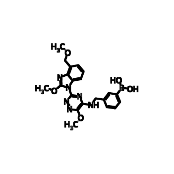 COCc1cccc2c1nc(OC)n2-c1nnc(OC)c(NCc2cccc(B(O)O)c2)n1